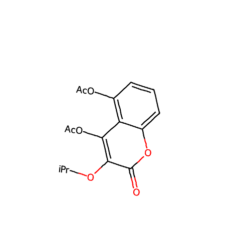 CC(=O)Oc1cccc2oc(=O)c(OC(C)C)c(OC(C)=O)c12